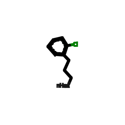 CCCCCCCCCc1[c]cccc1Cl